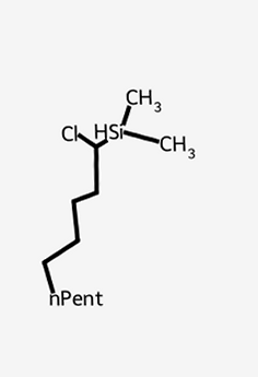 CCCCCCCCCC(Cl)[SiH](C)C